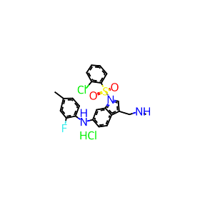 CNCc1cn(S(=O)(=O)c2ccccc2Cl)c2cc(Nc3ccc(C)cc3F)ccc12.Cl